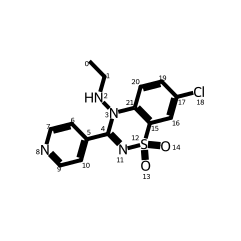 CCNN1C(c2ccncc2)=NS(=O)(=O)c2cc(Cl)ccc21